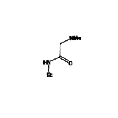 CCNC(=O)CNC